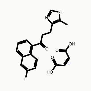 Cc1[nH]cnc1CCC(=O)c1cccc2cc(F)ccc12.O=C(O)/C=C\C(=O)O